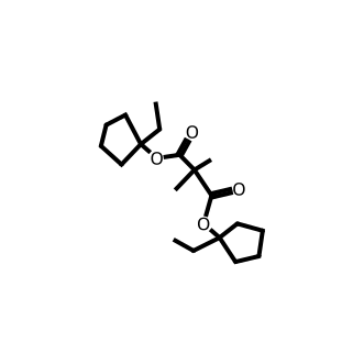 CCC1(OC(=O)C(C)(C)C(=O)OC2(CC)CCCC2)CCCC1